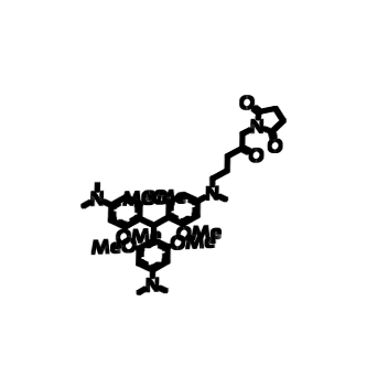 COc1cc(N(C)C)cc(OC)c1C(c1c(OC)cc(N(C)C)cc1OC)c1c(OC)cc(N(C)CCCC(=O)CN2C(=O)CCC2=O)cc1OC